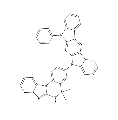 CN1c2nc3ccccc3n2-c2ccc(-n3c4ccccc4c4cc5c6ccccc6n(-c6ccccc6)c5cc43)cc2C1(C)C